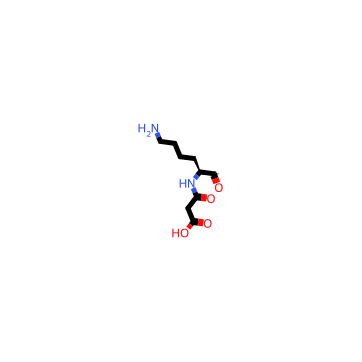 NCCCC[C@@H]([C]=O)NC(=O)CC(=O)O